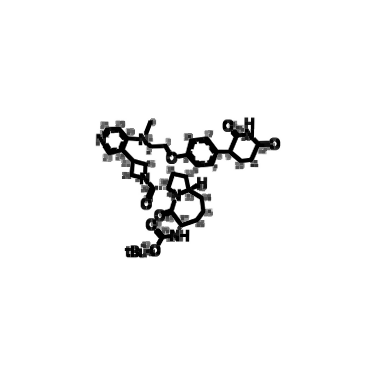 CN(CCOc1ccc(C2CCC(=O)NC2=O)cc1)c1ccncc1C1CN(C(=O)[C@@H]2CC[C@@H]3CCC[C@H](NC(=O)OC(C)(C)C)C(=O)N32)C1